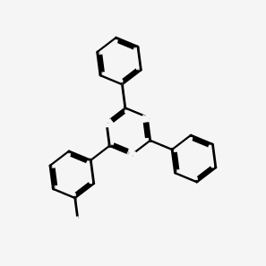 FC(F)(F)c1cccc(-c2nc(-c3ccccc3)nc(-c3ccccc3)n2)c1